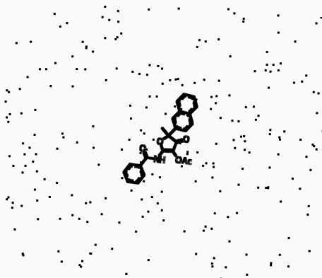 CC(=O)OC1=C(NC(=O)c2ccccc2)OC(C)(c2ccc3ccccc3c2)C1=O